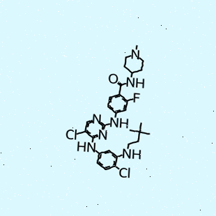 CN1CCC(NC(=O)c2ccc(Nc3ncc(Cl)c(Nc4ccc(Cl)c(NCCC(C)(C)C)c4)n3)cc2F)CC1